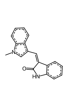 Cn1cc(C=C2C(=O)Nc3ccccc32)c2ccccc21